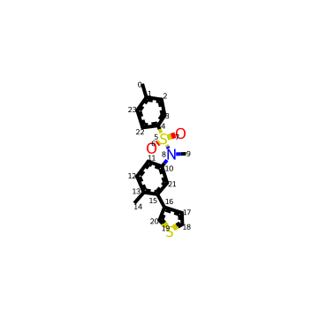 Cc1ccc(S(=O)(=O)N(C)c2ccc(C)c(-c3ccsc3)c2)cc1